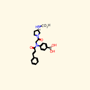 O=C(O)N[C@H]1CCN(C(=O)CN(C(=O)C=Cc2ccccc2)c2ccc(B(O)O)cc2)C1